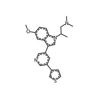 COc1ccc2c(c1)c(-c1cncc(-c3ccsc3)c1)cn2C(C)CN(C)C